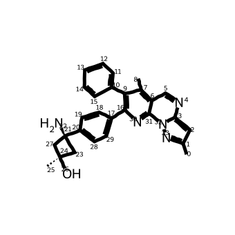 Cc1cc2ncc3c(C)c(-c4ccccc4)c(-c4ccc([C@]5(N)C[C@@](C)(O)C5)cc4)nc3n2n1